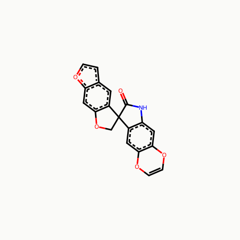 O=C1Nc2cc3c(cc2C12COc1cc4occc4cc12)OC=CO3